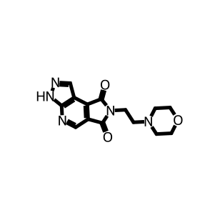 O=C1c2cnc3[nH]ncc3c2C(=O)N1CCN1CCOCC1